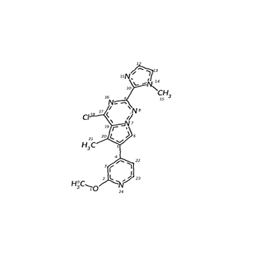 COc1cc(-c2cn3nc(-c4nccn4C)nc(Cl)c3c2C)ccn1